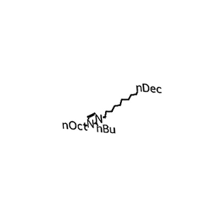 CCCCCCCCCCCCCCCCCCC[n+]1ccn(CCCCCCCC)c1CCCC